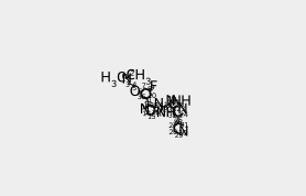 CN(C)CCOc1cc(F)cc(-c2nccc3[nH]c(-c4n[nH]c5ncc(-c6cccnc6)cc45)nc23)c1